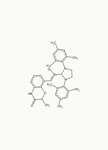 Cc1cc(C)c(N2CCN(c3c(C)cc(C)cc3C)[CH]2[Ru]([Cl])=[CH]c2cccc3c2OC(C)C(=O)N3)c(C)c1